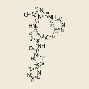 O=C(Nc1ccc2cc1CCc1cncc(c1)Nc1ncc(Cl)c(n1)N2)N1CCC(c2cnccn2)C1